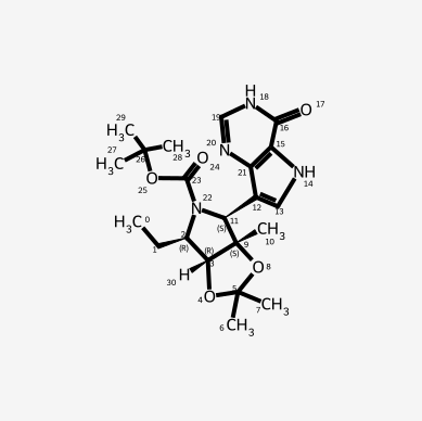 CC[C@@H]1[C@H]2OC(C)(C)O[C@@]2(C)[C@H](c2c[nH]c3c(=O)[nH]cnc23)N1C(=O)OC(C)(C)C